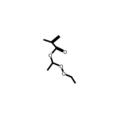 C=C(C)C(=O)OC(C)OOCC